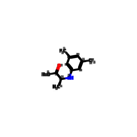 CC(C)COC(=O)[C@H](C)Nc1cc(C(F)(F)F)cc(C(F)(F)F)c1